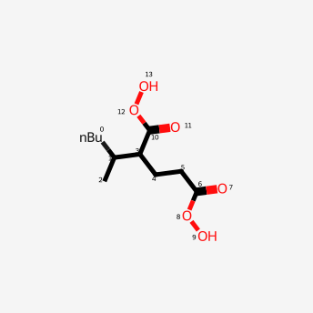 CCCCC(C)C(CCC(=O)OO)C(=O)OO